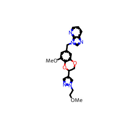 COCCn1cc(C2COc3cc(Cn4cnc5cccnc54)cc(OC)c3O2)cn1